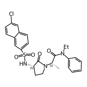 CCN(C(=O)[C@H](C)N1CC[C@H](NS(=O)(=O)c2ccc3cc(Cl)ccc3c2)C1=O)c1ccccc1